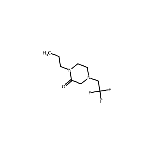 CCCN1CCN(CC(F)(F)F)CC1=O